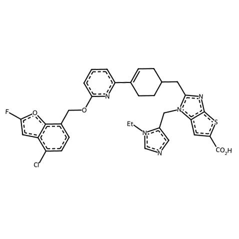 CCn1cncc1Cn1c(CC2CC=C(c3cccc(OCc4ccc(Cl)c5cc(F)oc45)n3)CC2)nc2sc(C(=O)O)cc21